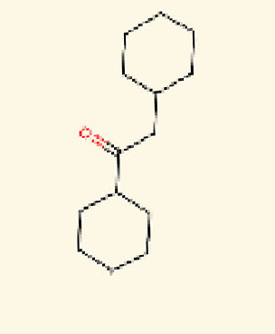 O=C(CC1CCCCC1)C1CC[CH]CC1